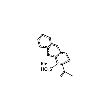 C=C(C)c1ccc2cc3ccccc3cc2c1S(=O)(=O)O.[Rb]